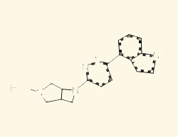 CN1CC2CN(c3ccc(-c4cccc5[nH]ccc45)nn3)C2C1